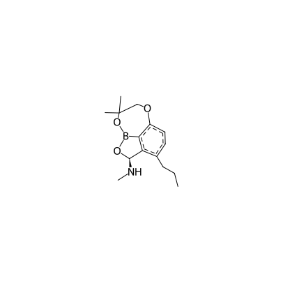 CCCc1ccc2c3c1[C@@H](NC)OB3OC(C)(C)CO2